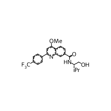 COc1cc(-c2ccc(C(F)(F)F)cc2)nc2cc(C(=O)N[C@@H](CO)C(C)C)ccc12